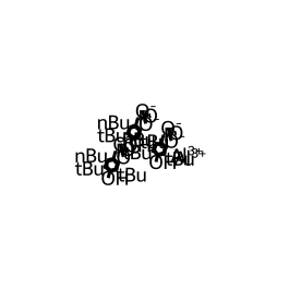 CCCCc1c(CP(=O)([O-])[O-])cc(C(C)(C)C)c(O)c1C(C)(C)C.CCCCc1c(CP(=O)([O-])[O-])cc(C(C)(C)C)c(O)c1C(C)(C)C.CCCCc1c(CP(=O)([O-])[O-])cc(C(C)(C)C)c(O)c1C(C)(C)C.[Al+3].[Al+3]